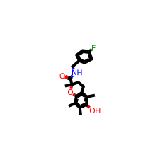 Cc1c(C)c2c(c(C)c1O)CCC(C)(C(=O)NCc1ccc(F)cc1)O2